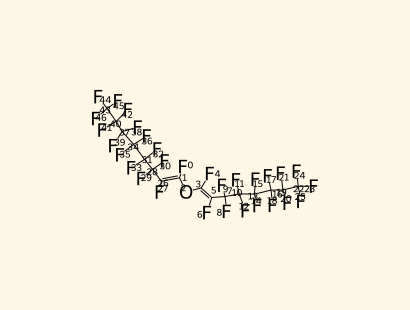 FC(OC(F)=C(F)C(F)(F)C(F)(F)C(F)(F)C(F)(F)C(F)(F)C(F)(F)F)=C(F)C(F)(F)C(F)(F)C(F)(F)C(F)(F)C(F)(F)C(F)(F)F